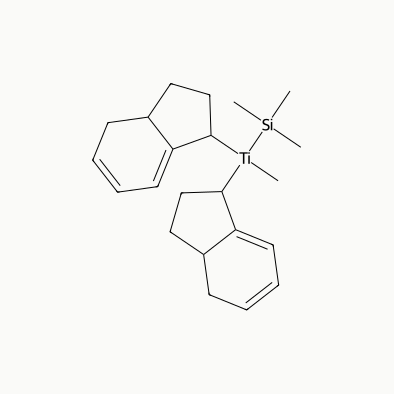 C[Si](C)(C)[Ti]([CH3])([CH]1CCC2CC=CC=C21)[CH]1CCC2CC=CC=C21